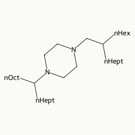 CCCCCCCCC(CCCCCCC)N1CCN(CC(CCCCCC)CCCCCCC)CC1